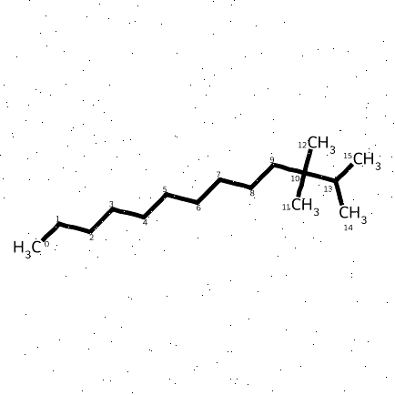 CCCCCCCCCCC(C)(C)[C](C)C